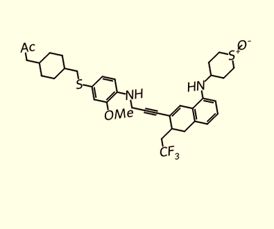 COc1cc(SCC2CCC(CC(C)=O)CC2)ccc1NCC#CC1=Cc2c(cccc2NC2CC[S+]([O-])CC2)CC1CC(F)(F)F